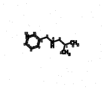 CC(C)CNCc1cccnc1